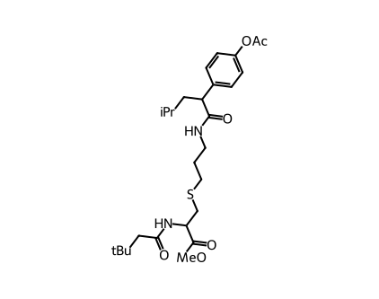 COC(=O)C(CSCCCNC(=O)C(CC(C)C)c1ccc(OC(C)=O)cc1)NC(=O)CC(C)(C)C